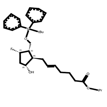 CC(C)OC(=O)CCCC=CC[C@@H]1[C@@H](CO[Si](c2ccccc2)(c2ccccc2)C(C)(C)C)[C@@H](F)C[C@H]1O